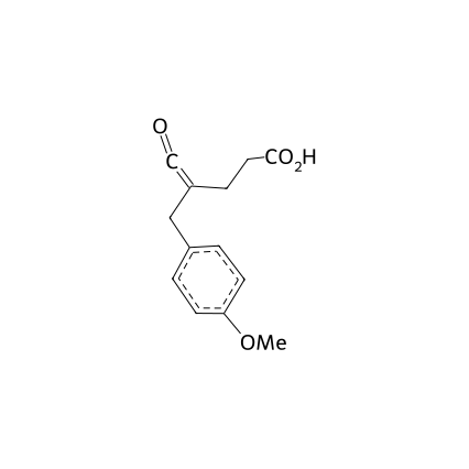 COc1ccc(CC(=C=O)CCC(=O)O)cc1